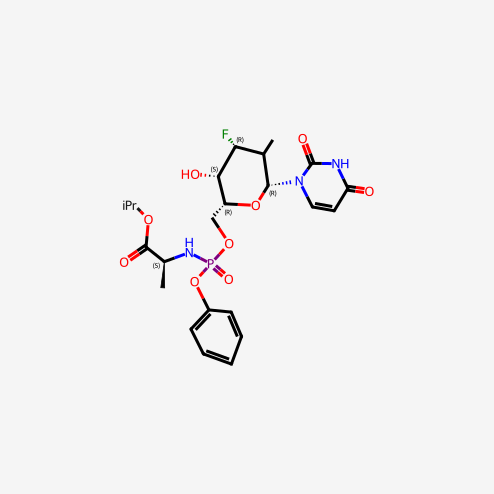 CC(C)OC(=O)[C@H](C)NP(=O)(OC[C@H]1O[C@@H](n2ccc(=O)[nH]c2=O)C(C)[C@@H](F)[C@H]1O)Oc1ccccc1